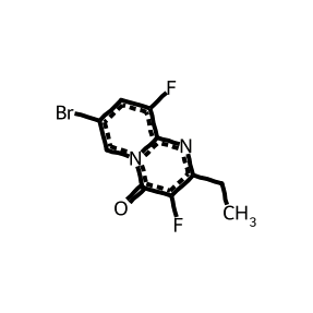 CCc1nc2c(F)cc(Br)cn2c(=O)c1F